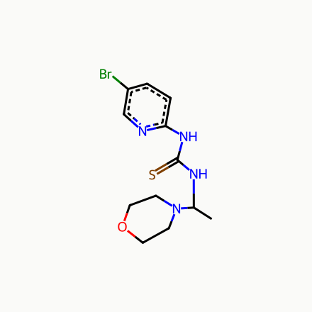 CC(NC(=S)Nc1ccc(Br)cn1)N1CCOCC1